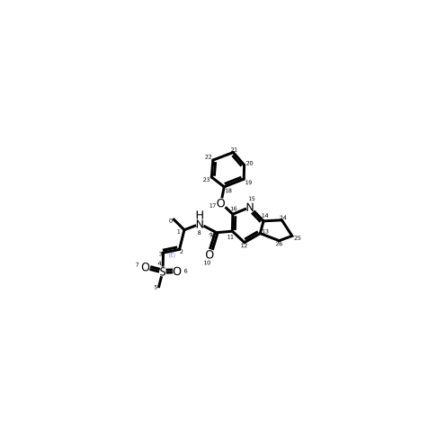 CC(/C=C/S(C)(=O)=O)NC(=O)c1cc2c(nc1Oc1ccccc1)CCC2